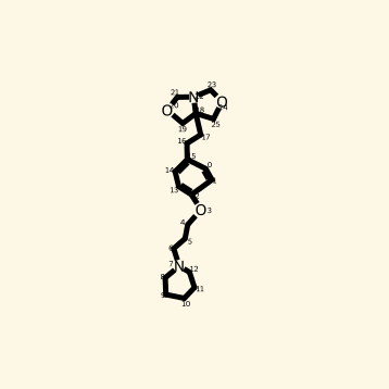 c1cc(OCCCN2CCCCC2)ccc1CCC12COCN1COC2